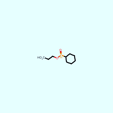 O=C(O)CCO[PH](=O)C1CCCCC1